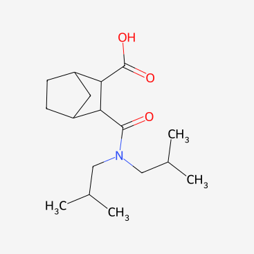 CC(C)CN(CC(C)C)C(=O)C1C2CCC(C2)C1C(=O)O